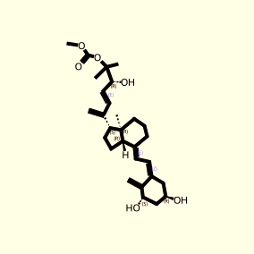 C=C(/C=C/[C@@H](O)C(C)(C)OC(=O)OC)[C@H]1CC[C@H]2/C(=C/C=C3/C[C@@H](O)C[C@H](O)C3=C)CCC[C@]12C